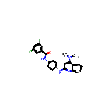 CN(C)c1cc(N[C@H]2CC[C@@H](NC(=O)c3cc(F)cc(F)c3)CC2)nc2ccccc12